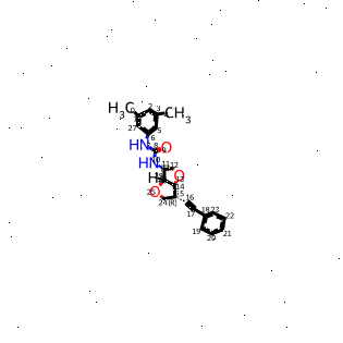 Cc1cc(C)cc(NC(=O)N[C@H]2COC3[C@H](C#Cc4ccccc4)CO[C@@H]32)c1